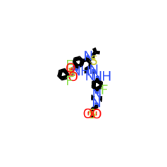 CC(C)c1nc(-c2ccc(F)c(NS(=O)(=O)c3ccccc3F)c2)c(-c2ccnc(Nc3ccc(N4CCN(CCS(C)(=O)=O)CC4)c(F)c3)n2)s1